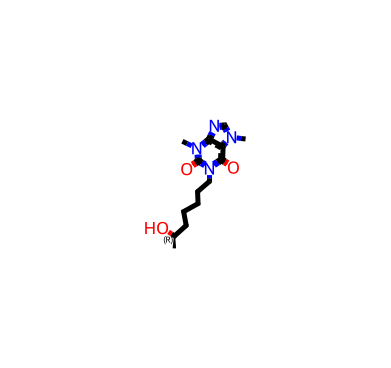 C[C@@H](O)CCCCCn1c(=O)c2c(ncn2C)n(C)c1=O